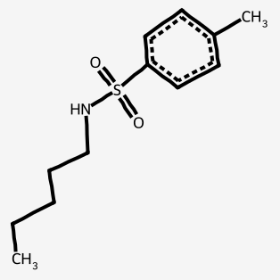 CCCCCNS(=O)(=O)c1ccc(C)cc1